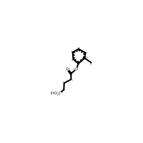 CCOC(=O)CCCC(=O)Oc1ccccc1C